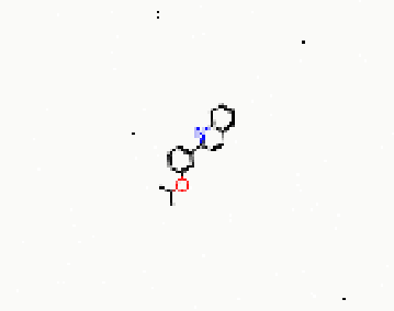 CC(C)Oc1cccc(-c2ccc3ccccc3n2)c1